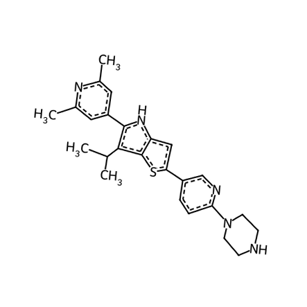 Cc1cc(-c2[nH]c3cc(-c4ccc(N5CCNCC5)nc4)sc3c2C(C)C)cc(C)n1